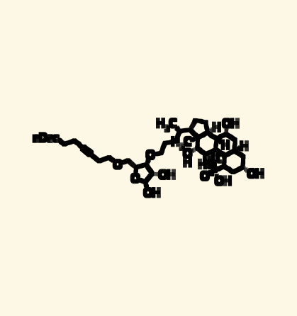 CCCCCCCCCCCCC#CCCOC[C@@H]1OC(O)[C@@H](O)[C@@H]1OCCC[C@@H](C)[C@H]1CC[C@H]2[C@@H]3[C@H](O)C[C@@H]4C[C@H](O)CC(P(=O)(O)O)[C@]4(C)[C@H]3C[C@H](O)[C@]12C